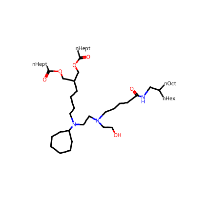 CCCCCCCCC(CCCCCC)CNC(=O)CCCCN(CCO)CCN(CCCCC(COC(=O)CCCCCCC)COC(=O)CCCCCCC)C1CCCCCC1